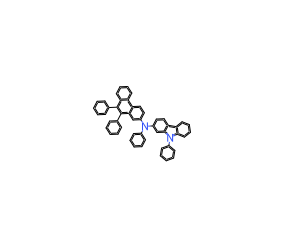 c1ccc(-c2c(-c3ccccc3)c3cc(N(c4ccccc4)c4ccc5c6ccccc6n(-c6ccccc6)c5c4)ccc3c3ccccc23)cc1